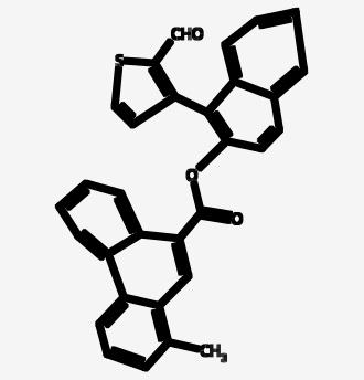 Cc1cccc2c1cc(C(=O)Oc1ccc3ccccc3c1-c1ccsc1C=O)c1ccccc12